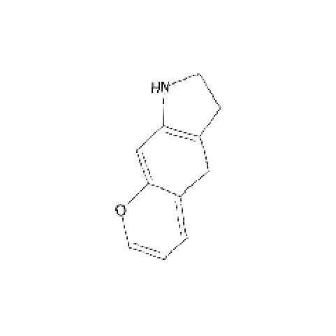 C1=COC2=CC3=C(CCN3)CC2=C1